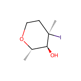 C[C@@H]1OCC[C@@](C)(I)[C@H]1O